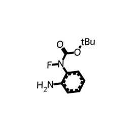 CC(C)(C)OC(=O)N(F)c1ccccc1N